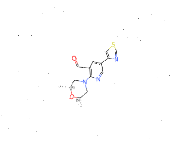 C[C@@H]1CN(c2ncc(-c3cscn3)cc2C=O)C[C@H](C)O1